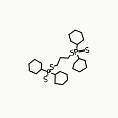 S=P(SCCCSP(=S)(C1CCCCC1)C1CCCCC1)(C1CCCCC1)C1CCCCC1